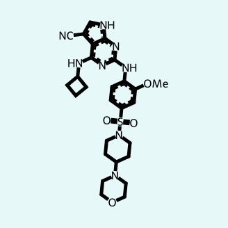 COc1cc(S(=O)(=O)N2CCC(N3CCOCC3)CC2)ccc1Nc1nc(NC2CCC2)c2c(C#N)c[nH]c2n1